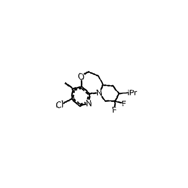 Cc1c(Cl)cnc2c1OCCC1CC(C(C)C)C(F)(F)CN21